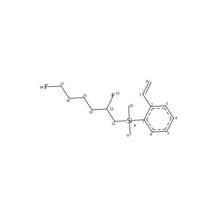 C=Cc1ccccc1[Si](C)(C)CC(F)CCCCF